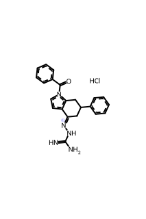 Cl.N=C(N)N/N=C1\CC(c2ccccc2)Cc2c1ccn2C(=O)c1ccccc1